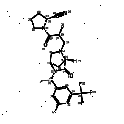 Cc1cc([C@H](C)N2C(=O)[C@@H]3CC2CN3C[C@H](C)C(=O)N2CCC[C@H]2C#N)cc(C(F)(F)F)c1